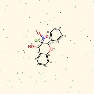 O=[N+]([O-])C1(Cl)C(O)c2ccccc2OC1c1ccccc1